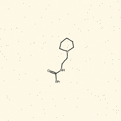 CCCC(=O)NCCN1CCCCC1